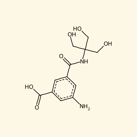 Nc1cc(C(=O)O)cc(C(=O)NC(CO)(CO)CO)c1